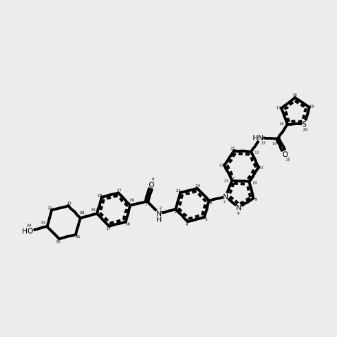 O=C(Nc1ccc(-n2ncc3cc(NC(=O)c4cccs4)ccc32)cc1)c1ccc(C2CCC(O)CC2)cc1